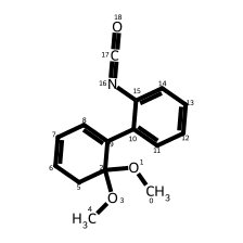 COC1(OC)CC=CC=C1c1ccccc1N=C=O